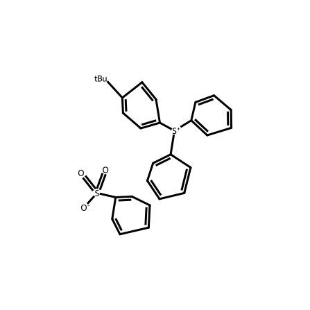 CC(C)(C)c1ccc([S+](c2ccccc2)c2ccccc2)cc1.O=S(=O)([O-])c1ccccc1